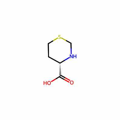 O=C(O)[C@@H]1CCSCN1